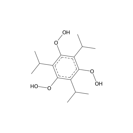 CC(C)c1c(OO)c(C(C)C)c(OO)c(C(C)C)c1OO